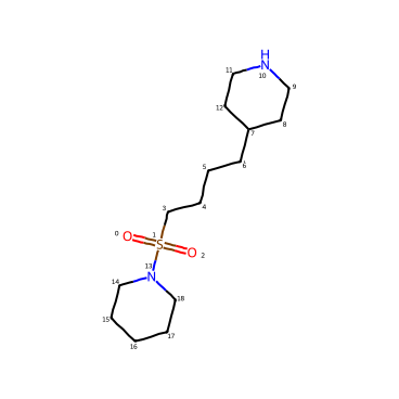 O=S(=O)(CCC[CH]C1CCNCC1)N1CCCCC1